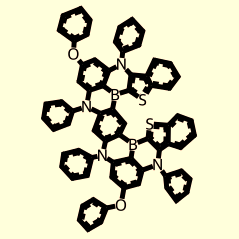 c1ccc(Oc2cc3c4c(c2)N(c2ccccc2)c2c(sc5ccccc25)B4c2cc4c(cc2N3c2ccccc2)N(c2ccccc2)c2cc(Oc3ccccc3)cc3c2B4c2sc4ccccc4c2N3c2ccccc2)cc1